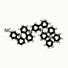 N#Cc1ccc2c3ccccc3n(-c3cccc4c3c3ccccc3n4-c3ccc4c5ccccc5n(-c5cccc([Si](c6ccccc6)(c6ccccc6)c6ccccc6)c5)c4c3)c2c1